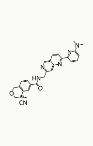 CN(C)c1cccc(-c2ccc3cnc(CNC(=O)c4ccc5c(c4)[C@](C)(C#N)COC5)cc3n2)n1